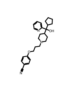 N#Cc1ccc(OCCCN2CCC(C(O)(c3ccccn3)C3CCCC3)CC2)cc1